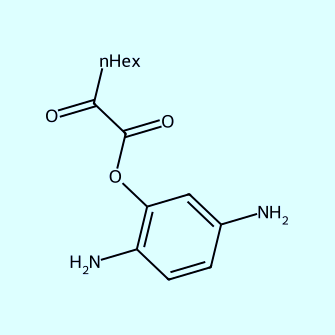 CCCCCCC(=O)C(=O)Oc1cc(N)ccc1N